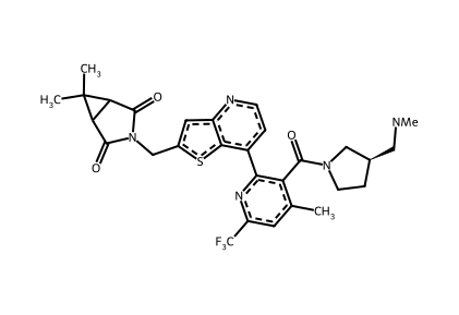 CNC[C@H]1CCN(C(=O)c2c(C)cc(C(F)(F)F)nc2-c2ccnc3cc(CN4C(=O)C5C(C4=O)C5(C)C)sc23)C1